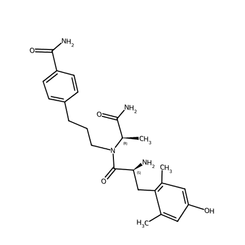 Cc1cc(O)cc(C)c1C[C@H](N)C(=O)N(CCCc1ccc(C(N)=O)cc1)[C@H](C)C(N)=O